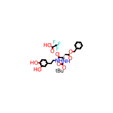 CC(C)(C)OC(=O)N[C@@H](CC(=O)OCc1ccccc1)C(=O)NCCc1ccc(O)c(O)c1.O=C(O)C(F)(F)F